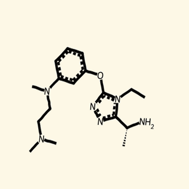 CCn1c(Oc2cccc(N(C)CCN(C)C)c2)nnc1[C@@H](C)N